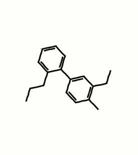 CCCc1c[c]ccc1-c1ccc(C)c(CC)c1